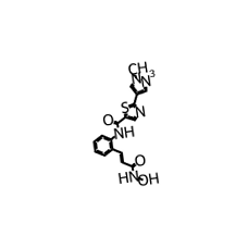 Cn1cc(-c2ncc(C(=O)Nc3ccccc3C=CC(=O)NO)s2)cn1